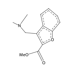 COC(=O)c1oc2ccccc2c1CN(C)C